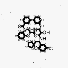 CCc1ccc2c(c1)[C@@H](NC[C@@H](O)[C@H](Cc1ccccc1)NC(=O)[C@@H]1CN(C(=O)c3ccccc3)c3ccccc3O1)CC1(CCCC1)O2